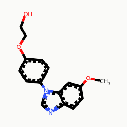 COc1ccc2ncn(-c3ccc(OCCO)cc3)c2c1